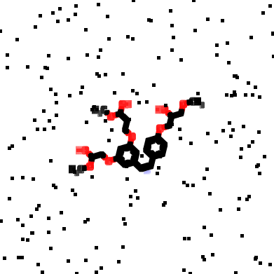 COCC(O)COc1ccc(/C=C\c2cc(OCCC(O)OC)cc(OCC(O)OC)c2)cc1